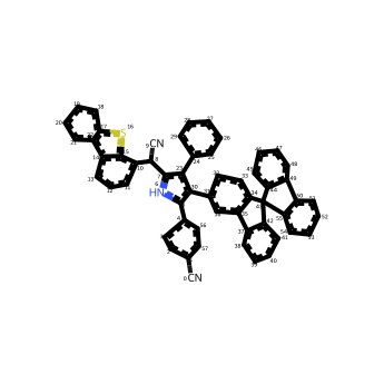 N#Cc1ccc(-c2[nH]c(C(C#N)c3cccc4c3sc3ccccc34)c(-c3ccccc3)c2-c2ccc3c(c2)-c2ccccc2C32c3ccccc3-c3ccccc32)cc1